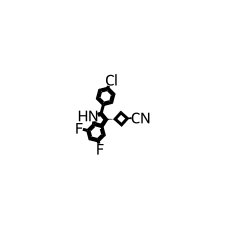 N#C[C@H]1C[C@H](c2c(-c3ccc(Cl)cc3)[nH]c3c(F)cc(F)cc32)C1